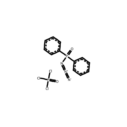 O=P(Cl)(Cl)Cl.[N-]=[N+]=NP(=O)(c1ccccc1)c1ccccc1